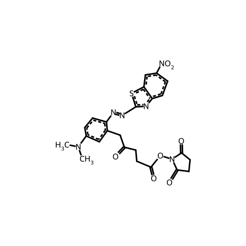 CN(C)c1ccc(N=Nc2nc3ccc([N+](=O)[O-])cc3s2)c(CC(=O)CCC(=O)ON2C(=O)CCC2=O)c1